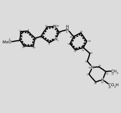 COc1ccc(-c2cnc(Nc3ccc(CCN4CCN(C(=O)O)C(C)C4)cc3)nc2)cc1